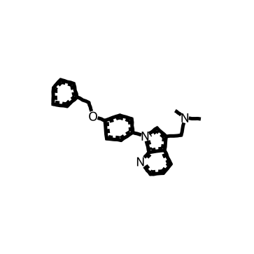 CN(C)Cc1cn(-c2ccc(OCc3ccccc3)cc2)c2ncccc12